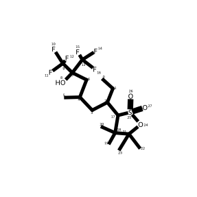 CCC(CC(C)CC(O)(C(F)(F)F)C(F)(F)F)C1C(C)(C)C(C)(C)OS1(=O)=O